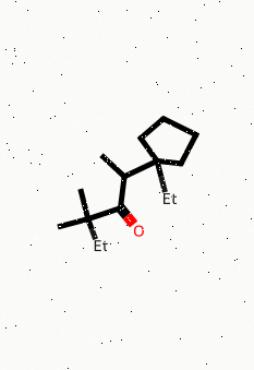 CCC(C)(C)C(=O)C(C)C1(CC)CCCC1